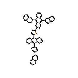 c1ccc2cc(-c3ccc(-c4c5ccccc5c(-c5ccc(-c6ccc7c(-c8ccc9ccccc9c8)c8ccccc8c(-c8ccc9ccccc9c8)c7c6)s5)c5ccccc45)cc3)ccc2c1